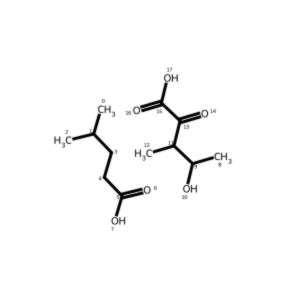 CC(C)CCC(=O)O.CC(O)C(C)C(=O)C(=O)O